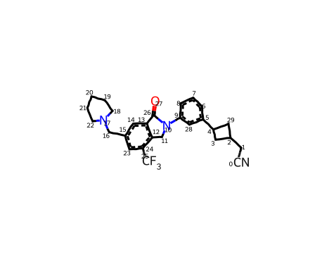 N#CCC1CC(c2cccc(N3Cc4c(cc(CN5CCCCC5)cc4C(F)(F)F)C3=O)c2)C1